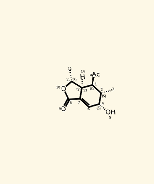 CC(=O)[C@H]1[C@H](C)[C@H](O)C=C2C(=O)O[C@H](C)[C@H]21